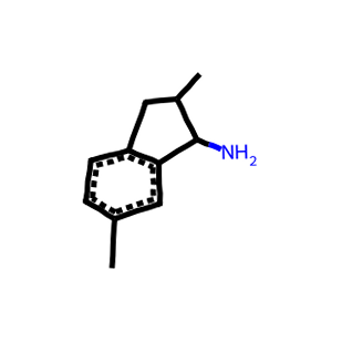 Cc1ccc2c(c1)C(N)C(C)C2